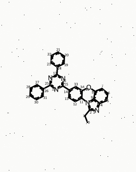 CCc1nc2cccc3c2n1-c1ccc(-c2nc(-c4ccccc4)nc(-c4ccccc4)n2)cc1O3